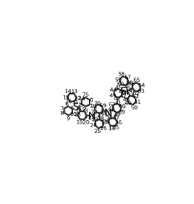 c1ccc([Si](c2ccccc2)(c2ccccc2)c2cccc(-n3c4ccccc4c4c(-n5c6ccccc6c6ccc(-c7cccc8c7-c7ccccc7[Si]8(c7ccccc7)c7ccccc7)cc65)cccc43)c2)cc1